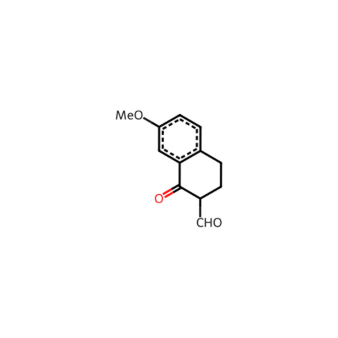 COc1ccc2c(c1)C(=O)C(C=O)CC2